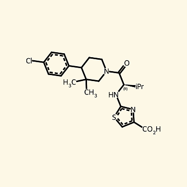 CC(C)[C@@H](Nc1nc(C(=O)O)cs1)C(=O)N1CCC(c2ccc(Cl)cc2)C(C)(C)C1